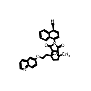 CC12CCC(CCOc3ccc4ncccc4c3)(O1)C1C(=O)N(c3ccc(C#N)c4ccccc34)C(=O)C12